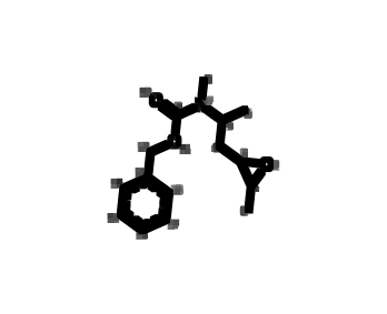 CC1OC1CC(C)N(C)C(=O)OCc1ccccc1